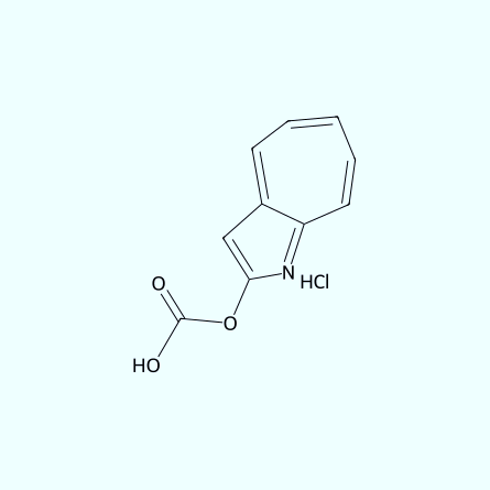 Cl.O=C(O)Oc1cc2cccccc-2n1